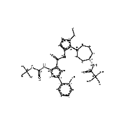 CCn1ncc(NC(=O)c2nc(-c3ccccc3F)sc2NC(=O)OC(C)(C)C)c1N1CCC[C@H](NC(=O)C(F)(F)F)CC1